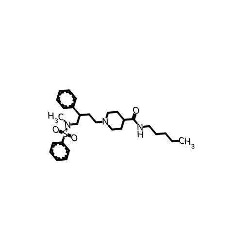 CCCCCNC(=O)C1CCN(CCC(CN(C)S(=O)(=O)c2ccccc2)c2ccccc2)CC1